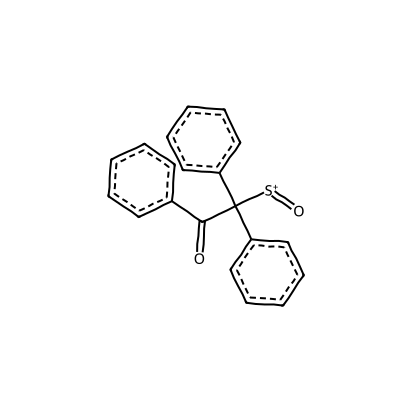 O=[S+]C(C(=O)c1ccccc1)(c1ccccc1)c1ccccc1